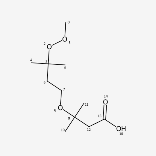 COOC(C)(C)CCOC(C)(C)CC(=O)O